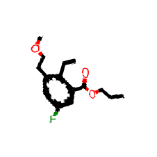 CCCOC(=O)c1cc(F)cc(CCOC)c1CC